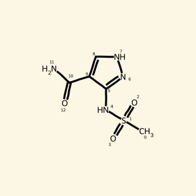 CS(=O)(=O)Nc1n[nH]cc1C(N)=O